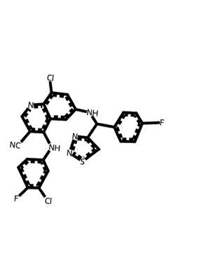 N#Cc1cnc2c(Cl)cc(NC(c3ccc(F)cc3)c3csnn3)cc2c1Nc1ccc(F)c(Cl)c1